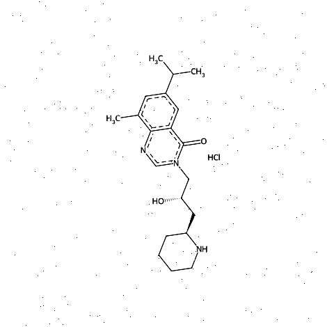 Cc1cc(C(C)C)cc2c(=O)n(C[C@@H](O)C[C@@H]3CCCCN3)cnc12.Cl